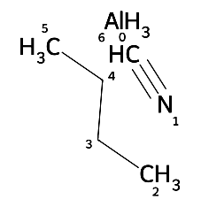 C#N.CCCC.[AlH3]